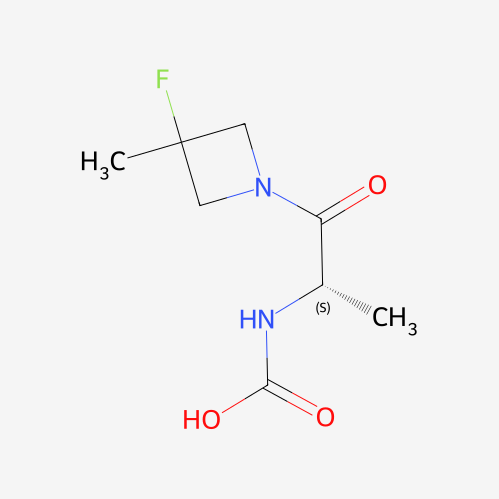 C[C@H](NC(=O)O)C(=O)N1CC(C)(F)C1